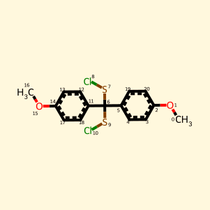 COc1ccc(C(SCl)(SCl)c2ccc(OC)cc2)cc1